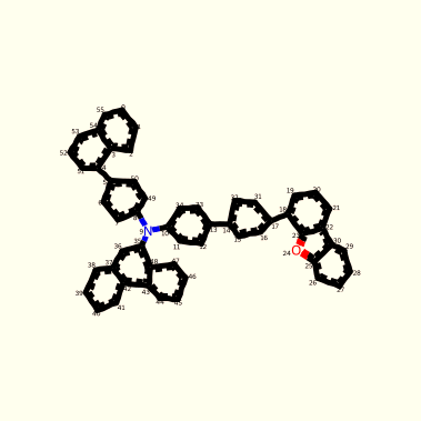 c1ccc2c(-c3ccc(N(c4ccc(-c5ccc(-c6cccc7c6oc6ccccc67)cc5)cc4)c4cc5ccccc5c5ccccc45)cc3)cccc2c1